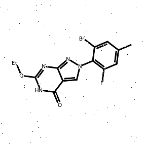 CCOc1nc2nn(-c3c(F)cc(C)cc3Br)cc2c(=O)[nH]1